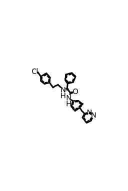 O=C(Nc1ccc(-c2cccnn2)cc1)[C@H](NCCc1ccc(Cl)cc1)c1ccccc1